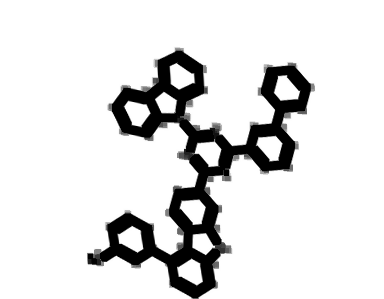 N#Cc1cccc(-c2cccc3oc4cc(-c5nc(-c6cccc(-c7ccccc7)c6)nc(-n6c7ccccc7c7ccccc76)n5)ccc4c23)c1